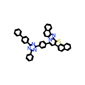 c1ccc(-c2ccc(-c3nc(-c4ccccc4)nc(-c4ccc(-c5cc6c7ccc8ccccc8c7sc6c6nc7c8ccccc8ccc7n56)cc4)n3)cc2)cc1